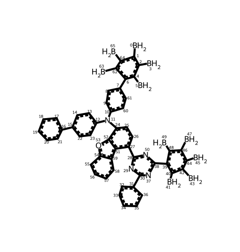 Bc1c(B)c(B)c(-c2ccc(N(c3ccc(-c4ccccc4)cc3)c3ccc(-c4nc(-c5ccccc5)nc(-c5c(B)c(B)c(B)c(B)c5B)n4)c4c3oc3ccccc34)cc2)c(B)c1B